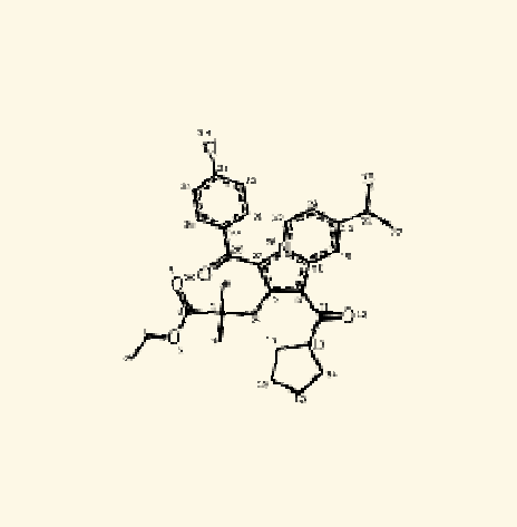 CCOC(=O)C(C)(C)Cc1c(C(=O)C2CCCC2)c2cc(C(C)C)ccn2c1C(=O)c1ccc(Cl)cc1